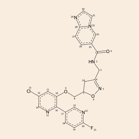 O=C(NCC1=NOC(COc2cc(Cl)cnc2-c2ccc(F)nc2)C1)c1ccc2nccn2c1